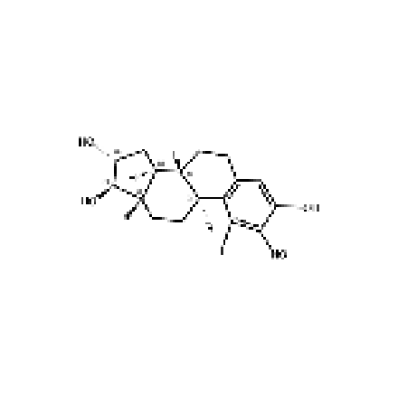 C[C@]12CC[C@@H]3c4c(cc(O)c(N=O)c4I)CC[C@H]3[C@@H]1C[C@@H](O)[C@@H]2O